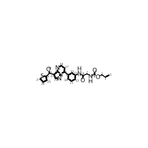 C=CCOC(=O)NCC(=O)Nc1cccc(-c2ccnc3c(C(=O)c4cccs4)cnn23)c1